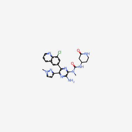 CN(C(=O)NC1CCNC(=O)C1)c1nc(-c2cc(Cl)c3ncccc3c2)c(-c2ccn(C)n2)nc1N